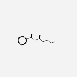 CCCCC(=O)NC(=O)c1ccccc1